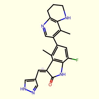 Cc1c(-c2cc(F)c3c(c2C)/C(=C/c2cn[nH]c2)C(=O)N3)cnc2c1NCCC2